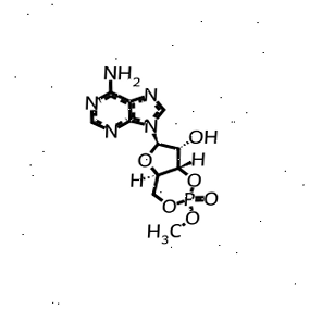 COP1(=O)OC[C@H]2O[C@@H](n3cnc4c(N)ncnc43)[C@H](O)[C@@H]2O1